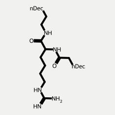 CCCCCCCCCCCCNC(=O)C(CCCCNC(=N)N)NC(=O)CCCCCCCCCCC